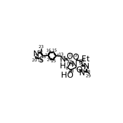 CC[C@@H](C(=O)N1C[C@H](O)C[C@H]1C(=O)NCc1ccc(-c2scnc2C)cc1)c1nc(C)no1